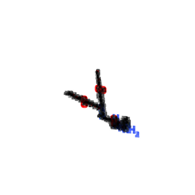 CCCCCC/C=C/COC(=O)CCCCCCCCN(CCCCCCCCC(=O)OC/C=C/CCCCCC)CCCN(C)CCCCCC(=O)OC(C)(C)Cn1c(CNCC)nc2c(N)nc3ccccc3c21